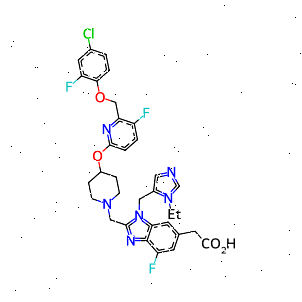 CCn1cncc1Cn1c(CN2CCC(Oc3ccc(F)c(COc4ccc(Cl)cc4F)n3)CC2)nc2c(F)cc(CC(=O)O)cc21